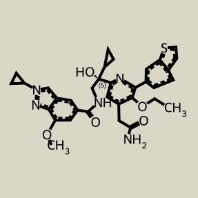 CCOc1c(CC(N)=O)cc([C@@](O)(CNC(=O)c2cc(OC)c3nn(C4CC4)cc3c2)C2CC2)nc1-c1ccc2ccsc2c1